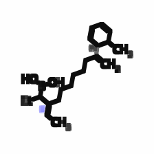 C=C(CCCCCC/C(=C\C)C(CC)B(O)O)[C@@H]1C=CC=CC1C